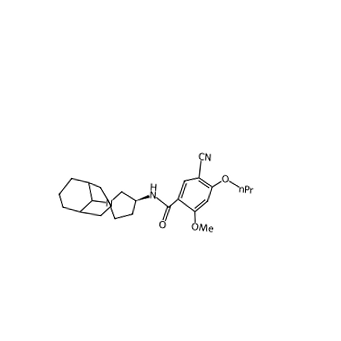 CCCOc1cc(OC)c(C(=O)N[C@H]2CCN(C3C4CCCC3CCC4)C2)cc1C#N